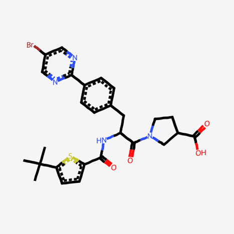 CC(C)(C)c1ccc(C(=O)NC(Cc2ccc(-c3ncc(Br)cn3)cc2)C(=O)N2CCC(C(=O)O)C2)s1